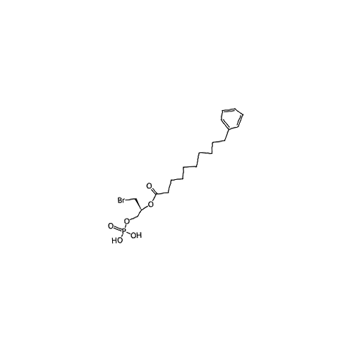 O=C(CCCCCCCCCc1ccccc1)O[C@H](CBr)COP(=O)(O)O